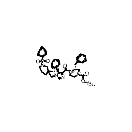 CC(C)(C)OC(=O)N1CCN(C(=O)c2ncn(CC3(O)CCCN(S(=O)(=O)c4ccccc4)C3)c2-c2ccccc2)[C@H](Cc2ccccc2)C1